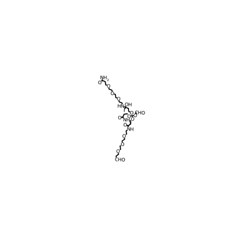 NC(=O)CCOCCOCCOCCNC(O)(I)CCO[C@@](OC=O)(OCCC(N)=O)OCCC(=O)NCCOCCOCCOCCC=O